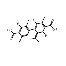 CC(C)=C1C(c2cc(F)c(C(=O)O)c(F)c2F)=C(F)C(F)=C(C(=O)O)C1F